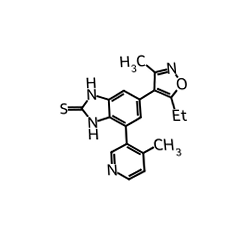 CCc1onc(C)c1-c1cc(-c2cnccc2C)c2[nH]c(=S)[nH]c2c1